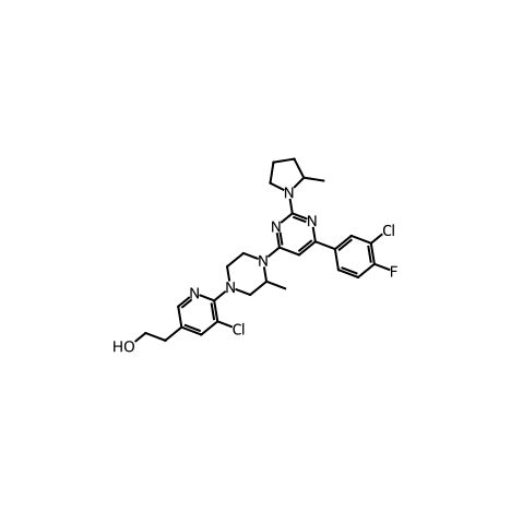 CC1CN(c2ncc(CCO)cc2Cl)CCN1c1cc(-c2ccc(F)c(Cl)c2)nc(N2CCCC2C)n1